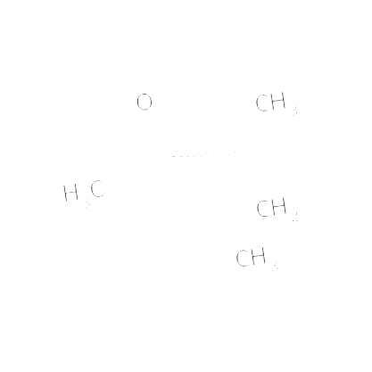 C=C(C)C=O.CC=CC